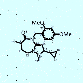 COc1ccc(CN2C(=O)C(I)CCN3C2=CC(C2CC2)N3C)c(OC)c1